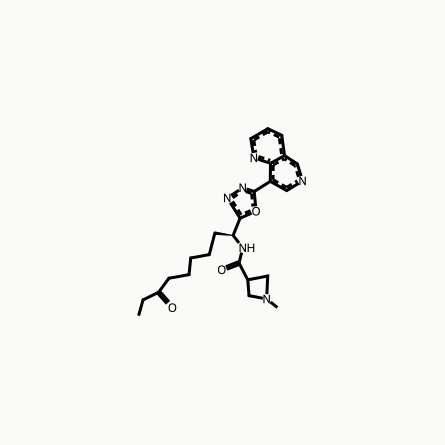 CCC(=O)CCCCC[C@H](NC(=O)C1CN(C)C1)c1nnc(-c2cncc3cccnc23)o1